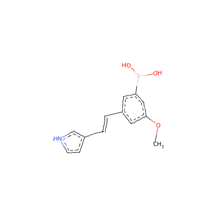 COc1cc(/C=C/c2cc[nH]c2)cc(B(O)O)c1